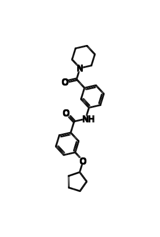 O=C(Nc1cccc(C(=O)N2CCCCC2)c1)c1cccc(OC2CCCC2)c1